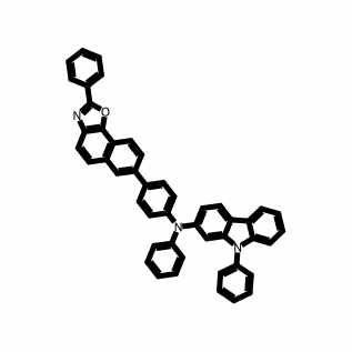 c1ccc(-c2nc3ccc4cc(-c5ccc(N(c6ccccc6)c6ccc7c8ccccc8n(-c8ccccc8)c7c6)cc5)ccc4c3o2)cc1